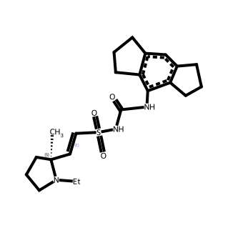 CCN1CCC[C@@]1(C)/C=C/S(=O)(=O)NC(=O)Nc1c2c(cc3c1CCC3)CCC2